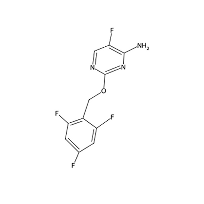 Nc1nc(OCc2c(F)cc(F)cc2F)ncc1F